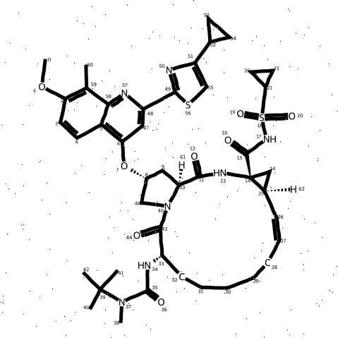 COc1ccc2c(O[C@@H]3C[C@H]4C(=O)N[C@]5(C(=O)NS(=O)(=O)C6CC6)C[C@H]5/C=C\CCCCC[C@H](NC(=O)N(C)C(C)(C)C)C(=O)N4C3)cc(-c3nc(C4CC4)cs3)nc2c1C